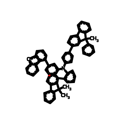 CC1(C)c2ccccc2-c2cccc(-c3ccccc3N(c3ccc(-c4ccc5c(c4)C(C)(c4ccccc4)c4ccccc4-5)cc3)c3cccc(-c4cccc5oc6ccccc6c45)c3)c21